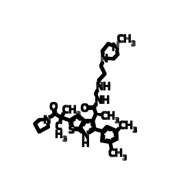 Cc1cc(C)cc(-c2[nH]c3sc(C(C)(C)C(=O)N4CCCC4)cc3c2[C@H](C)C(=O)NCNCCCN2CCN(C)CC2)c1